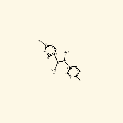 [2H]C(c1ccc(C)cc1)C(O)c1ccc(C)cc1